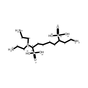 NCCC(CCCCC(N(CCN)CCN)P(=O)(O)O)P(=O)(O)O